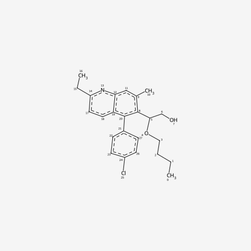 CCCCOC(CO)c1c(C)cc2nc(CC)ccc2c1-c1ccc(Cl)cc1